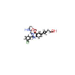 CC(C)NC(=O)Cn1c(-c2cccc(Cl)c2)nc2ccc(C3C=C(CCO)C3)cc2c1=O